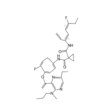 C=C/C(=C\C=C(\F)CC)NC(=O)C1(C(=O)NC2=CC=C(OC(=C)c3nc(CC)cnc3N(C)CCC)C(F)=CC2)CC1